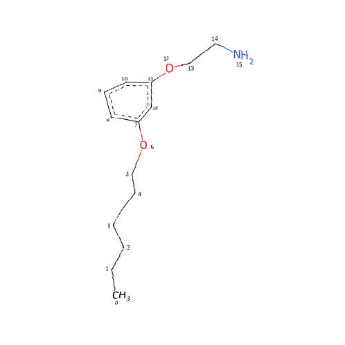 CCCCCCOc1cccc(OCCN)c1